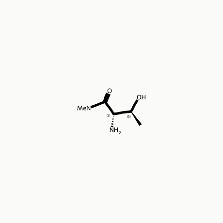 CNC(=O)[C@@H](N)[C@H](C)O